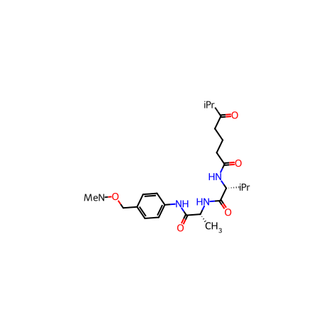 CNOCc1ccc(NC(=O)[C@@H](C)NC(=O)[C@H](NC(=O)CCCC(=O)C(C)C)C(C)C)cc1